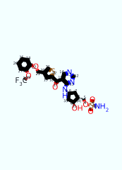 NS(=O)(=O)OC[C@H]1C[C@@H](Nc2ncncc2C(=O)c2cc(COc3ccccc3OC(F)(F)F)cs2)C[C@@H]1O